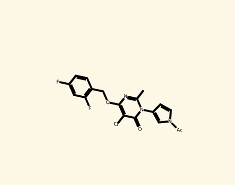 CC(=O)n1ccc(-n2c(C)nc(OCc3ccc(F)cc3F)c(Cl)c2=O)c1